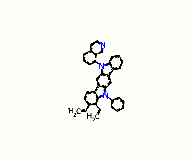 C=Cc1ccc2c3cc4c(cc3n(-c3ccccc3)c2c1C=C)c1ccccc1n4-c1cccc2ccncc12